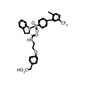 Cc1ccc(C(F)(F)F)cc1-c1ccc(S(=O)(=O)N2c3ccccc3C[C@H]2C(=O)NCCOc2ccc(CC(=O)O)cc2)cc1